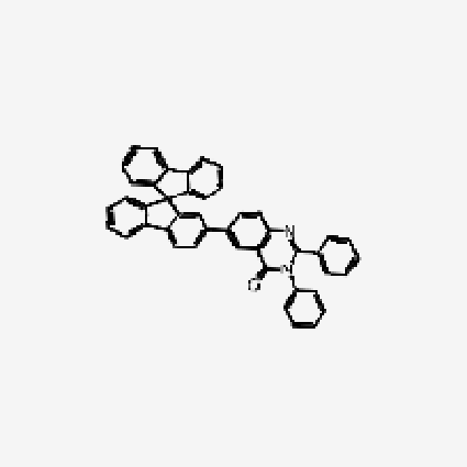 O=c1c2cc(-c3ccc4c(c3)C3(c5ccccc5-c5ccccc53)c3ccccc3-4)ccc2nc(-c2ccccc2)n1-c1ccccc1